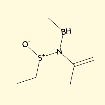 C=C(C)N(BC)[S+]([O-])CC